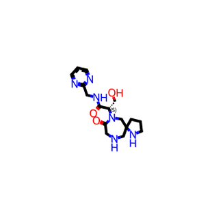 O=C(NCc1ncccn1)[C@H](CO)N1CC2(CCCN2)CNCC1=O